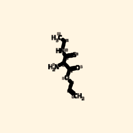 C=CCOC(=O)C(N)C(=S)NCC